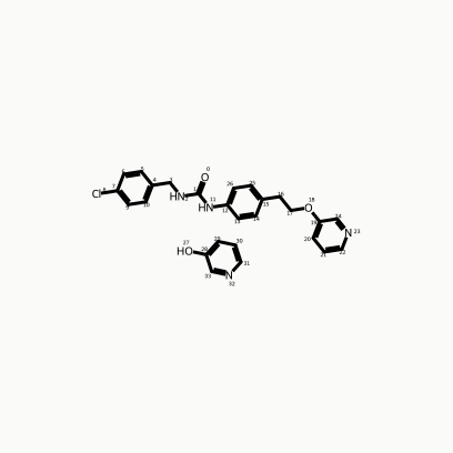 O=C(NCc1ccc(Cl)cc1)Nc1ccc(CCOc2cccnc2)cc1.Oc1cccnc1